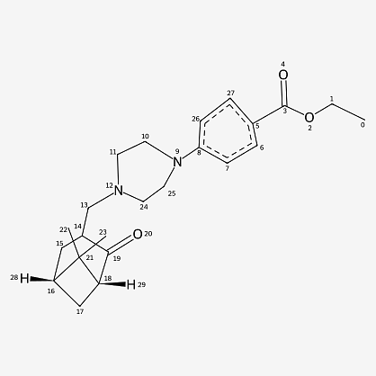 CCOC(=O)c1ccc(N2CCN(CC3C[C@H]4C[C@@H](C3=O)C4(C)C)CC2)cc1